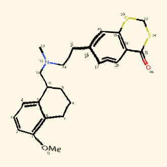 COc1cccc2c1CCCC2CN(C)CCc1ccc2c(c1)SCSC2=O